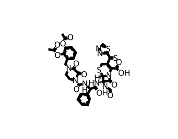 CC(=O)Oc1cccc(CN2CCN(C(=O)NC(C(=O)N[C@]3(NC=O)C(=O)N4C(C(=O)O)=C(C(=S)c5nncs5)CS[C@H]43)c3ccccc3)C(=O)C2=O)c1OC(C)=O